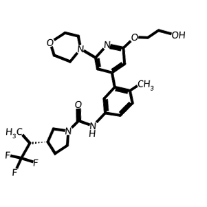 Cc1ccc(NC(=O)N2CC[C@H](C(C)C(F)(F)F)C2)cc1-c1cc(OCCO)nc(N2CCOCC2)c1